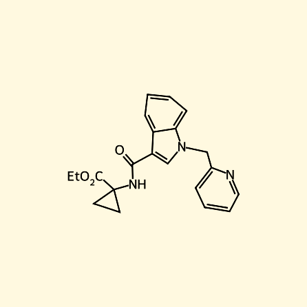 CCOC(=O)C1(NC(=O)c2cn(Cc3ccccn3)c3ccccc23)CC1